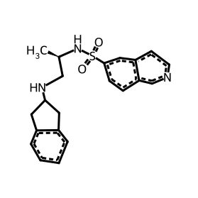 C[C@H](CNC1Cc2ccccc2C1)NS(=O)(=O)c1ccc2cnccc2c1